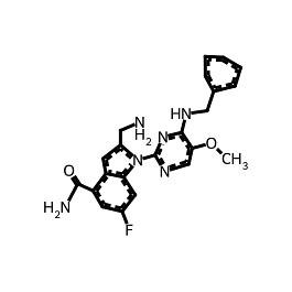 COc1cnc(-n2c(CN)cc3c(C(N)=O)cc(F)cc32)nc1NCc1ccccc1